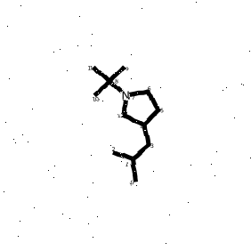 CC(C)CC1CCN(C(C)(C)C)C1